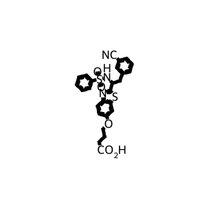 N#Cc1cccc(CC(NS(=O)(=O)c2ccccc2)c2nc3ccc(OCCCC(=O)O)cc3s2)c1